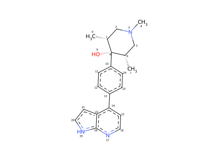 C[C@@H]1CN(C)C[C@H](C)[C@@]1(O)c1ccc(-c2ccnc3[nH]ccc23)cc1